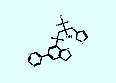 CC(C)(CC(O)(CC1C=CSC1)C(F)(F)F)c1cc(-c2cncnc2)cc2c1OCC2